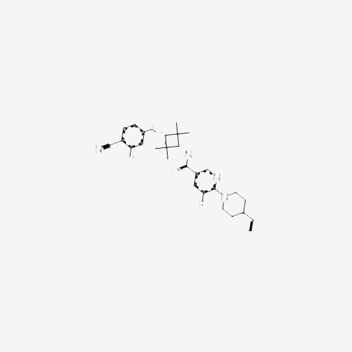 C=CC1CCN(c2ncc(C(=O)N[C@H]3C(C)(C)[C@H](Oc4ccc(C#N)c(Cl)c4)C3(C)C)cc2F)CC1